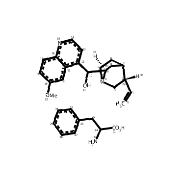 C=C[C@@H]1CN2CCC1C[C@@H]2C(O)c1ccnc2ccc(OC)cc12.NC(Cc1ccccc1)C(=O)O